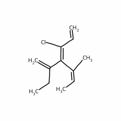 C=C/C(Cl)=C(C(=C)CC)\C(C)=C/C